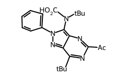 CC(=O)c1nc(C(C)(C)C)c2nn(-c3ccccc3)c(N(C(=O)O)C(C)(C)C)c2n1